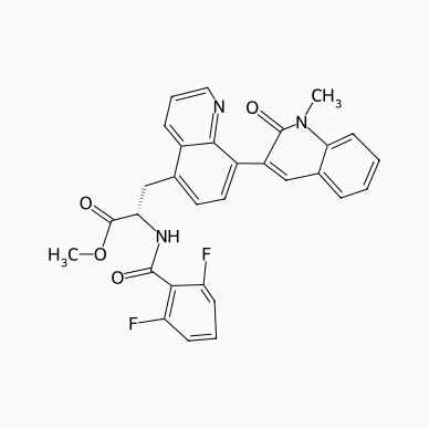 COC(=O)[C@H](Cc1ccc(-c2cc3ccccc3n(C)c2=O)c2ncccc12)NC(=O)c1c(F)cccc1F